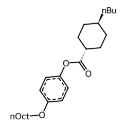 CCCCCCCCOc1ccc(OC(=O)[C@H]2CC[C@H](CCCC)CC2)cc1